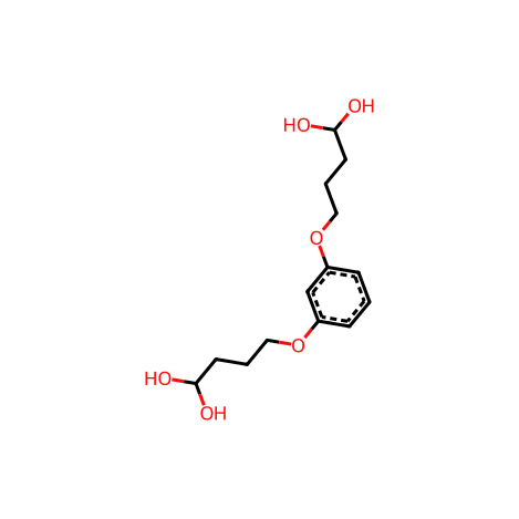 OC(O)CCCOc1cccc(OCCCC(O)O)c1